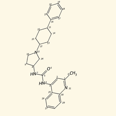 Cc1cc(NC(=O)NC2CCN(C3CCC(c4ccccc4)CC3)C2)c2ccccc2n1